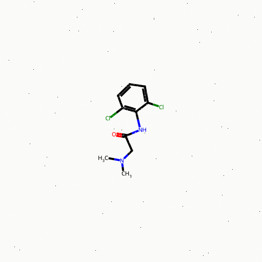 CN(C)CC(=O)Nc1c(Cl)cccc1Cl